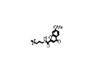 COc1ccc2c(=O)cc(C(=O)NCCC[N+](C)(C)C)oc2c1